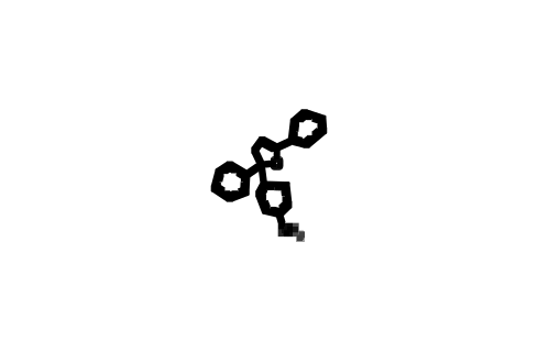 Nc1ccc(C2(c3ccccc3)CC=C(c3ccccc3)O2)cc1